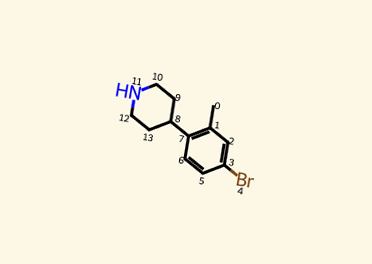 Cc1cc(Br)ccc1C1CCNCC1